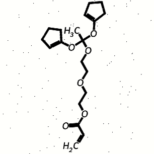 C=CC(=O)OCCOCCOC(C)(OC1=CCCC1)OC1=CCCC1